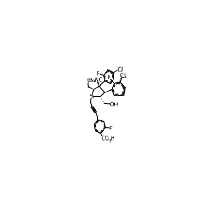 CC(C)(C)C[C@@H]1N(CC#Cc2ccc(C(=O)O)c(F)c2)[C@@H](CO)[C@H](c2cccc(Cl)c2F)[C@@]1(C#N)c1ccc(Cl)cc1F